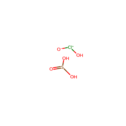 O=S(O)O.[O-][Cl+]O